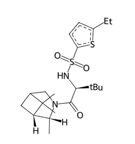 CCc1ccc(S(=O)(=O)N[C@H](C(=O)N2CC3C[C@@H]([C@H]2C)C3(C)C)C(C)(C)C)s1